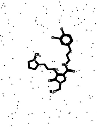 CCN1CC(C(=O)NCCCc2ccc(Cl)c(Cl)c2)=C(NCCC2CCCN2C)C1=O